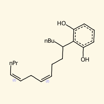 CCC/C=C\C/C=C\CCC(CCCC)c1c(O)cccc1O